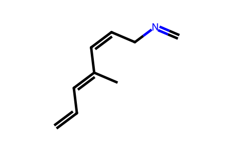 C=C/C=C(C)/C=C\CN=C